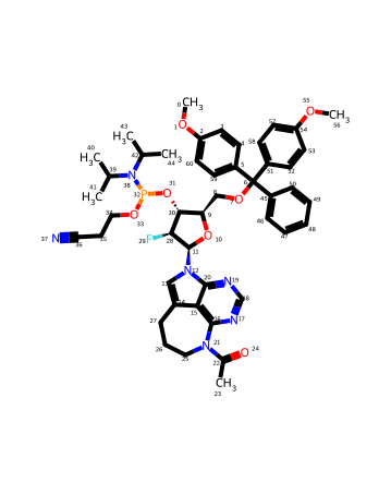 COc1ccc(C(OC[C@H]2O[C@@H](n3cc4c5c(ncnc53)N(C(C)=O)CCC4)[C@@H](F)[C@@H]2OP(OCCC#N)N(C(C)C)C(C)C)(c2ccccc2)c2ccc(OC)cc2)cc1